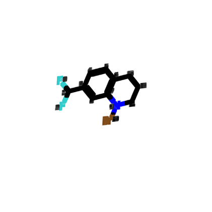 FC(F)c1ccc2c(c1)N(Br)CCC2